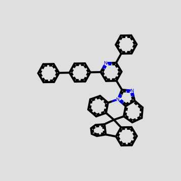 c1ccc(-c2ccc(-c3cc(-c4nc5cccc6c5n4-c4ccccc4C64c5ccccc5-c5ccccc54)cc(-c4ccccc4)n3)cc2)cc1